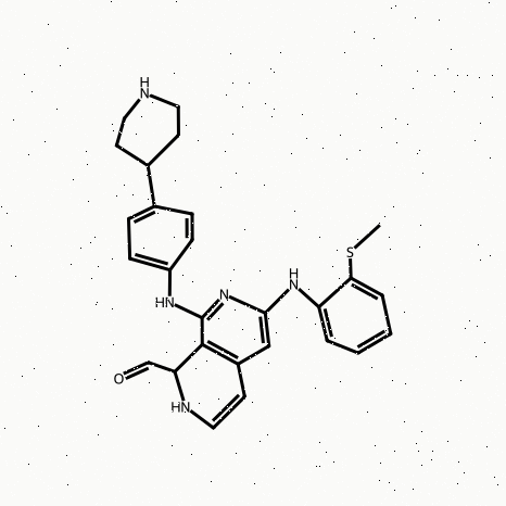 CSc1ccccc1Nc1cc2c(c(Nc3ccc(C4CCNCC4)cc3)n1)C(C=O)NC=C2